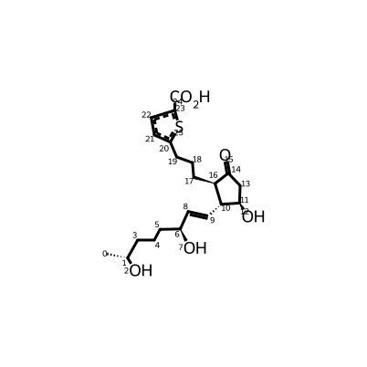 C[C@@H](O)CCC[C@H](O)/C=C/[C@H]1[C@H](O)CC(=O)[C@@H]1CCCc1ccc(C(=O)O)s1